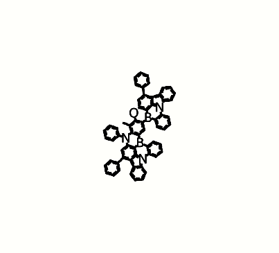 Cc1c2c(cc3c1N(c1ccccc1)c1cc(-c4ccccc4)c4c5ccccc5n5c4c1B3c1ccccc1-5)B1c3ccccc3-n3c4ccccc4c4c(-c5ccccc5)cc(c1c43)O2